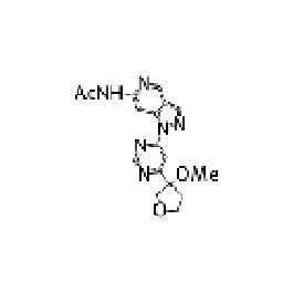 COC1(c2cc(-n3ncc4cnc(NC(C)=O)cc43)ncn2)CCOC1